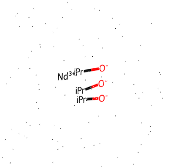 CC(C)[O-].CC(C)[O-].CC(C)[O-].[Nd+3]